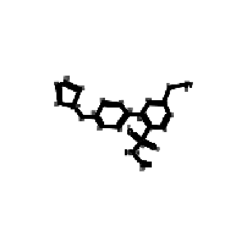 CC(C)Cc1ccc(S(=O)(=O)NC(C)(C)C)c(-c2ccc(Cn3ccnc3)cc2)c1